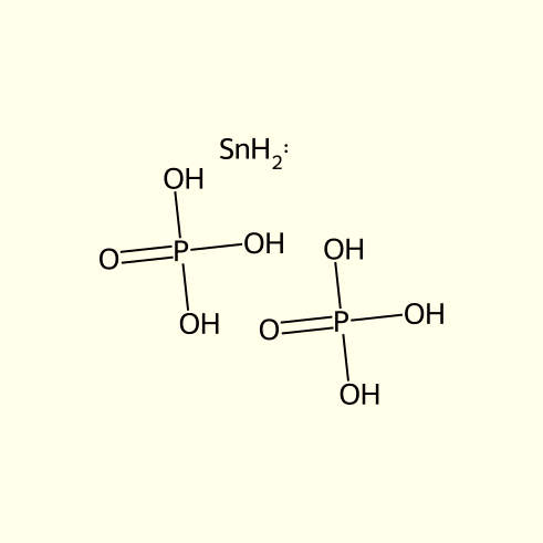 O=P(O)(O)O.O=P(O)(O)O.[SnH2]